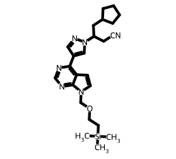 C[Si](C)(C)CCOCn1ccc2c(-c3cnn(C(CC#N)CC4CCCC4)c3)ncnc21